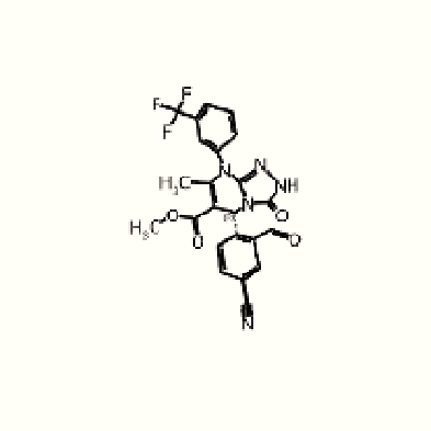 COC(=O)C1=C(C)N(c2cccc(C(F)(F)F)c2)c2n[nH]c(=O)n2[C@@H]1c1ccc(C#N)cc1C=O